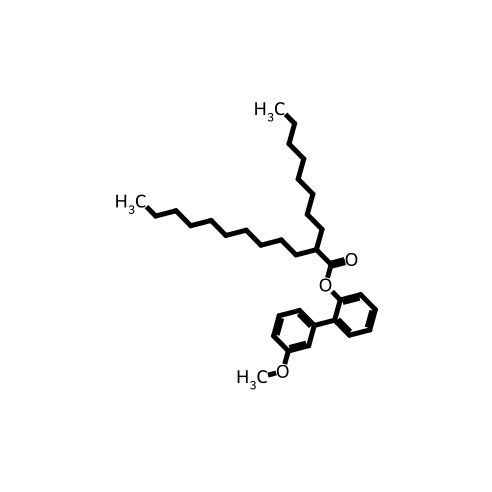 CCCCCCCCCCC(CCCCCCCC)C(=O)Oc1ccccc1-c1cccc(OC)c1